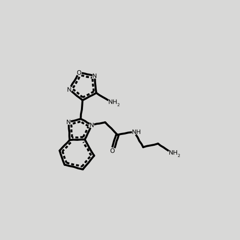 NCCNC(=O)Cn1c(-c2nonc2N)nc2ccccc21